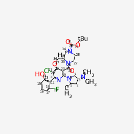 C[C@H]1C[C@@H](N(C)C)CN1c1nc(-c2c(O)cccc2F)c(Cl)c2c1C(=O)N1CCN(C(=O)OC(C)(C)C)C[C@@H]1CO2